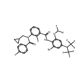 O=C(Nc1c(Br)cc(C(C(F)(F)F)C(F)(F)F)cc1OC(F)F)c1cccc(N(CC2CC2)C(=O)c2ccc(F)cc2)c1F